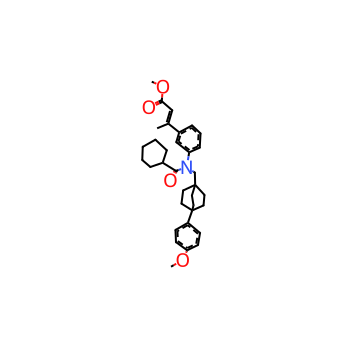 COC(=O)/C=C(\C)c1cccc(N(CC23CCC(c4ccc(OC)cc4)(CC2)CC3)C(=O)C2CCCCC2)c1